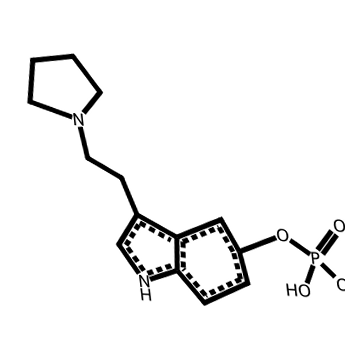 O=P(O)(O)Oc1ccc2[nH]cc(CCN3CCCC3)c2c1